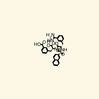 N=C(N)c1cccc(C[C@H](NS(=O)(=O)c2ccc3ccccc3c2)C(=O)N[C@@H](Cc2cccc(C(=O)O)c2)C(=O)O)c1